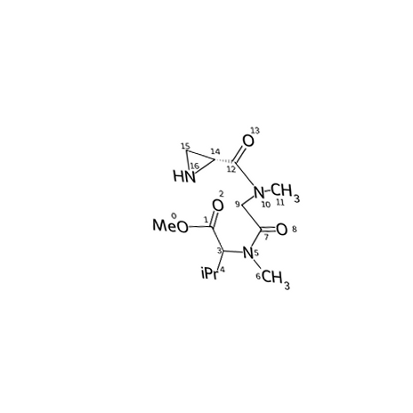 COC(=O)C(C(C)C)N(C)C(=O)CN(C)C(=O)[C@H]1CN1